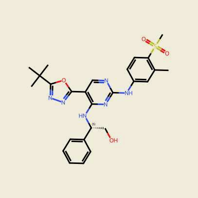 Cc1cc(Nc2ncc(-c3nnc(C(C)(C)C)o3)c(N[C@H](CO)c3ccccc3)n2)ccc1S(C)(=O)=O